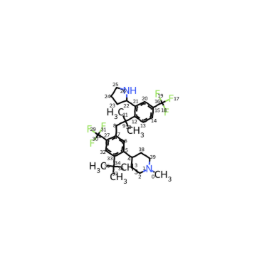 CN1CCC(c2cc(CC(C)(C)c3ccc(C(F)(F)F)cc3C3CCCN3)c(C(F)(F)F)cc2C(C)(C)C)CC1